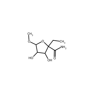 CCC1(C(N)=O)OC(OC)C(O)C1O